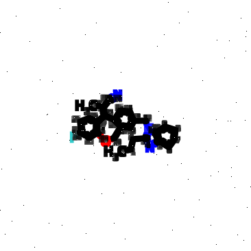 CCCc1nc2ccccc2n1Cc1ccc2c(c1)COc1cc(F)ccc1/C2=C(\C)C#N